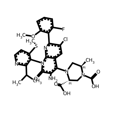 COc1cccc(F)c1-c1nc2c(cc1Cl)c(N1C[C@@H](C)N(C(=O)O)C[C@@H]1C(=O)O)c(N)c(=O)n2-c1c(SC)ccnc1C(C)C